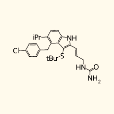 CC(C)c1ccc2[nH]c(C=CCNC(N)=O)c(SC(C)(C)C)c2c1Cc1ccc(Cl)cc1